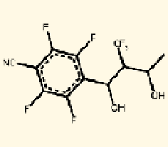 CC(O)C(C(O)c1c(F)c(F)c(C#N)c(F)c1F)C(F)(F)F